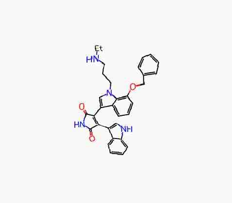 CCNCCCn1cc(C2=C(c3c[nH]c4ccccc34)C(=O)NC2=O)c2cccc(OCc3ccccc3)c21